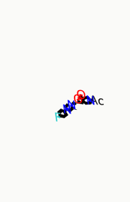 CC(=O)N1CCC2(CC1)C[C@H](CCN1CCN(c3ccc(F)cc3)C[C@H]1C)OC2=O